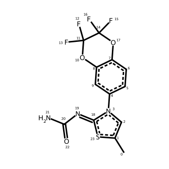 Cc1cn(-c2ccc3c(c2)OC(F)(F)C(F)(F)O3)c(=NC(N)=O)s1